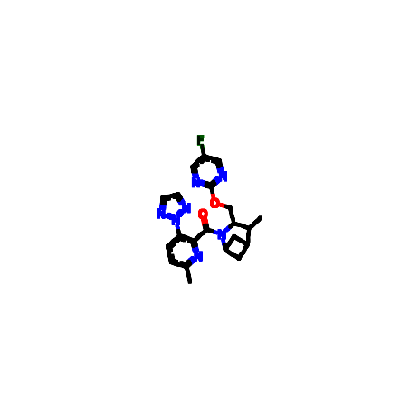 Cc1ccc(-n2nccn2)c(C(=O)N2C3CC(C3)C(C)C2COc2ncc(F)cn2)n1